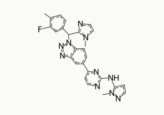 Cc1ccc(C(c2nccn2C)n2nnc3cc(-c4ccnc(Nc5ccnn5C)n4)ccc32)cc1F